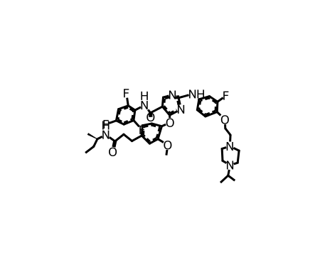 CC[C@@H](C)NC(=O)CCc1ccc(Oc2nc(Nc3ccc(OCCN4CCN(C(C)C)CC4)c(F)c3)ncc2C(=O)Nc2c(F)cc(F)cc2F)c(OC)c1